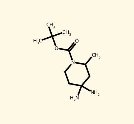 CC1CC(N)(N)CCN1C(=O)OC(C)(C)C